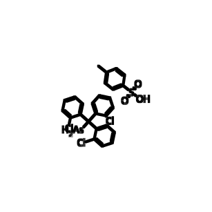 Cc1ccc(S(=O)(=O)O)cc1.Clc1ccccc1C([AsH2])(c1ccccc1Cl)c1ccccc1Cl